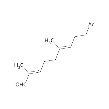 CC(=O)CC/C=C(\C)CC/C=C(\C)C=O